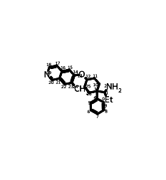 CCC(N)C1(c2ccccc2)CCC(Oc2cc3ccncc3cc2C)CC1